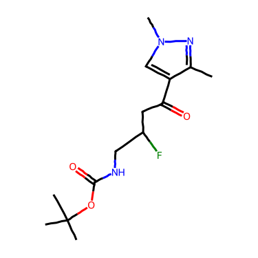 Cc1nn(C)cc1C(=O)CC(F)CNC(=O)OC(C)(C)C